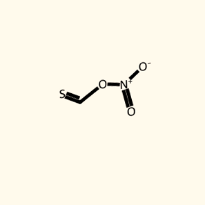 O=[N+]([O-])OC=S